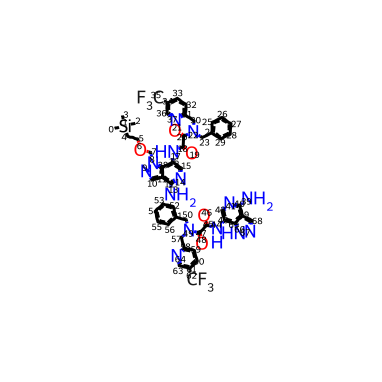 C[Si](C)(C)CCOCn1ncc2c(N)ncc(NC(=O)C(=O)N(Cc3ccccc3)Cc3ccc(C(F)(F)F)cn3)c21.Nc1ncc(NC(=O)C(=O)N(Cc2ccccc2)Cc2ccc(C(F)(F)F)cn2)c2[nH]ncc12